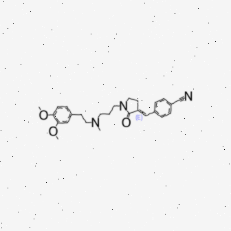 COc1ccc(CCN(C)CCCN2CC/C(=C\c3ccc(C#N)cc3)C2=O)cc1OC